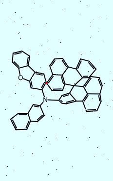 c1ccc2c(c1)-c1cccc3cccc(c13)C21c2cc(N(c3ccc4ccccc4c3)c3ccc4c(c3)oc3ccccc34)ccc2-c2cccc3cccc1c23